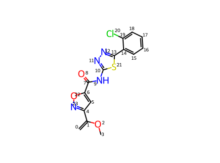 C=C(OC)c1cc(C(=O)Nc2nnc(-c3ccccc3Cl)s2)on1